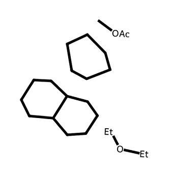 C1CCC2CCCCC2C1.C1CCCCC1.CCOCC.COC(C)=O